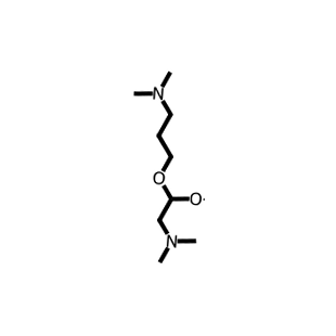 CN(C)CCCOC([O])CN(C)C